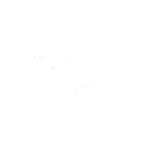 C=C1C[C@@H](n2ccc(N)nc2=O)OC1(CO)N=[N+]=[N-]